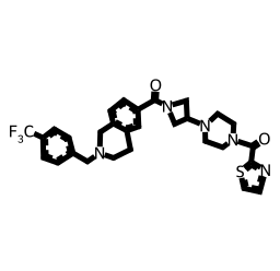 O=C(c1ccc2c(c1)CCN(Cc1ccc(C(F)(F)F)cc1)C2)N1CC(N2CCN(C(=O)c3nccs3)CC2)C1